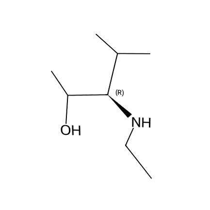 CCN[C@H](C(C)C)C(C)O